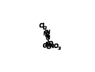 O=C1c2cccc([N+](=O)[O-])c2C(=O)N1CCCCN1CCN(c2ncc(-c3ccc(Cl)cc3)cn2)CC1